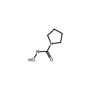 O=C([N]O)N1CCCC1